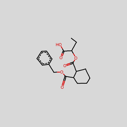 CCC(OC(=O)C1CCCCC1C(=O)OCc1ccccc1)C(=O)O